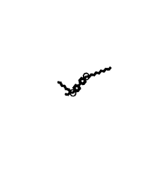 CCCCCCCCCCOc1ccc(-c2ccc(OC(CC)CCCCCC)cc2)cc1